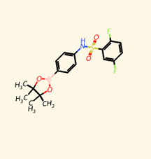 CC1(C)OB(c2ccc(NS(=O)(=O)c3cc(F)ccc3F)cc2)OC1(C)C